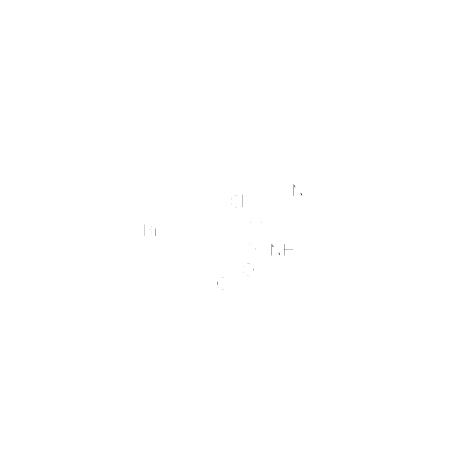 Cc1ncccc1NS(=O)(=O)c1c(Cl)cc(Br)cc1Cl